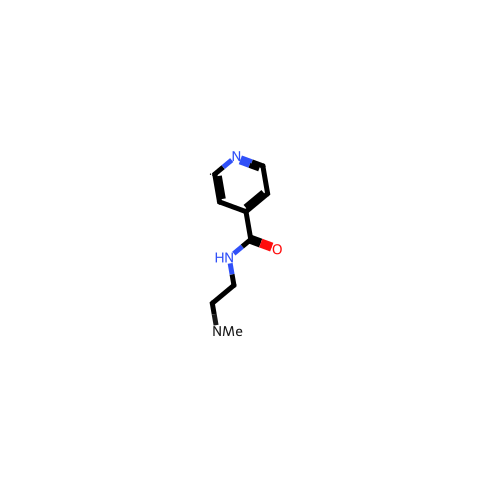 CNCCNC(=O)c1c[c]ncc1